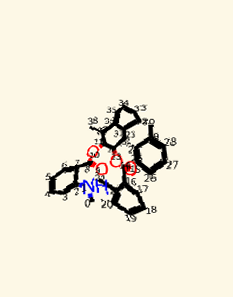 CNc1ccccc1C(=O)OC1C(OC(=O)c2ccccc2C)[C@@H](c2ccccc2C)c2ccccc2[C@@H]1C